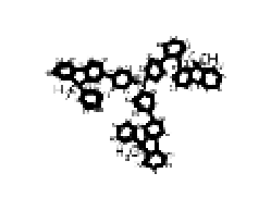 CC1(C)c2ccccc2-c2cccc(-c3ccccc3-c3ccc(N(c4ccc(-c5ccc6c(c5)C(C)(c5ccccc5)c5ccccc5-6)cc4)c4ccc(-c5ccc6c(c5)C(C)(c5ccccc5)c5ccccc5-6)cc4)cc3)c21